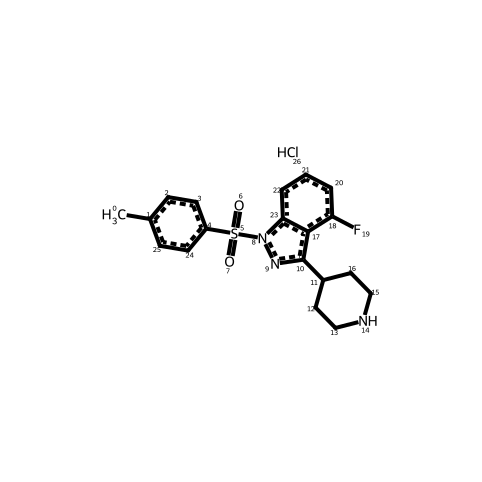 Cc1ccc(S(=O)(=O)n2nc(C3CCNCC3)c3c(F)cccc32)cc1.Cl